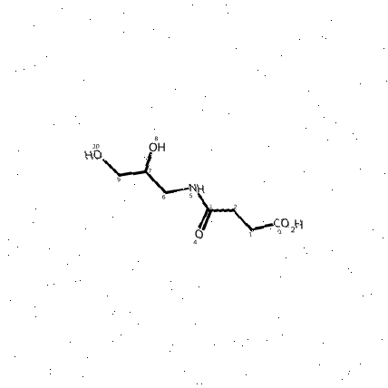 O=C(O)CCC(=O)NCC(O)CO